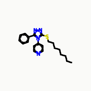 CCCCCCCCSc1nnc(-c2ccccc2)n1-c1ccncc1